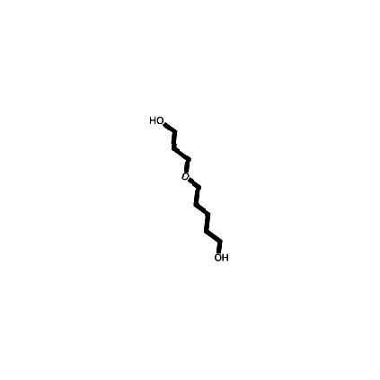 OCCCCCOCCCO